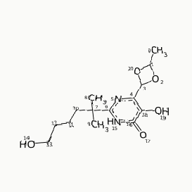 CC1OC(c2nc(C(C)(C)CCCCO)[nH]c(=O)c2O)O1